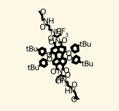 CC(C)(C)c1ccc(Oc2cc3c4c(cc(Oc5ccc(C(C)(C)C)cc5)c5c6c(Oc7ccc(C(C)(C)C)cc7)cc7c8c(cc(Oc9ccc(C(C)(C)C)cc9)c(c2c45)c86)C(=O)N(C(CC(F)(F)F)C(=O)NCCC(=O)NCC2CO2)C7=O)C(=O)N(C(CC(F)(F)F)C(=O)NCCC(=O)NCC2CO2)C3=O)cc1